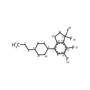 CCCC1CCC(c2cc(F)c(F)c3c2CCC3(F)F)CC1